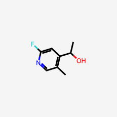 Cc1cnc(F)cc1C(C)O